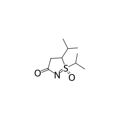 CC(C)C1CC(=O)N=S1(=O)C(C)C